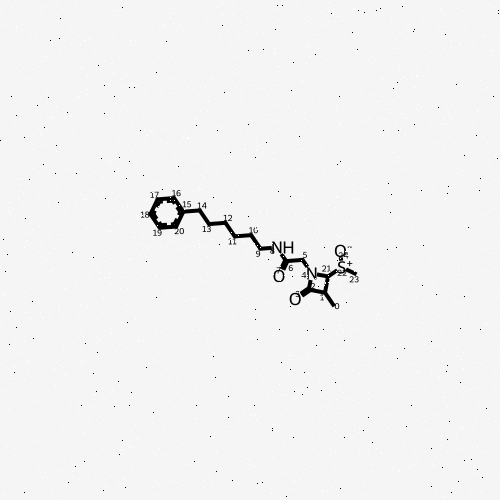 CC1C(=O)N(CC(=O)NCCCCCCc2ccccc2)C1[S+](C)[O-]